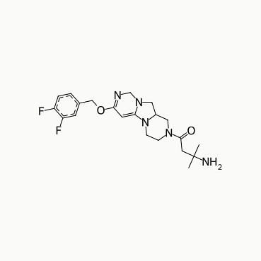 CC(C)(N)CC(=O)N1CCN2C3=CC(OCc4ccc(F)c(F)c4)=NCN3CC2C1